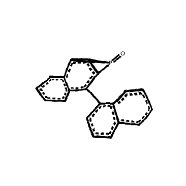 O=P12c3c1c2c1ccccc1c3-c1cccc2ccccc12